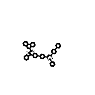 c1ccc(-c2ccc(-c3cc(-c4ccc(-c5ccc6c(c5)nc(-c5cc7ccccc7c7ccccc57)c5oc7ccccc7c56)cc4)nc(-c4ccccc4)n3)cc2)cc1